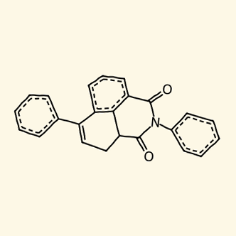 O=C1c2cccc3c2C(CC=C3c2ccccc2)C(=O)N1c1ccccc1